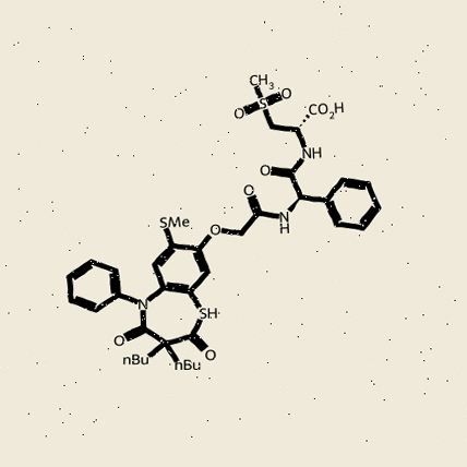 CCCCC1(CCCC)C(=O)[SH]c2cc(OCC(=O)N[C@@H](C(=O)N[C@H](CS(C)(=O)=O)C(=O)O)c3ccccc3)c(SC)cc2N(c2ccccc2)C1=O